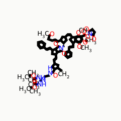 C=CC1CC(/C=C/C2CC(/C=C/c3ccccc3)C3C(=O)N(C[C@H]4CC(/C=C\C5CC(C=Cc6ccccc6)c6c(OC)c(OC)c(C(=O)ON7C(=O)CCC7=O)c(OC)c65)CC4C=CCCC(C)=O)C(=O)C23)CC1C(=O)NCCN=C(NC(=O)OC(C)(C)C)NC(=O)OC(C)(C)C